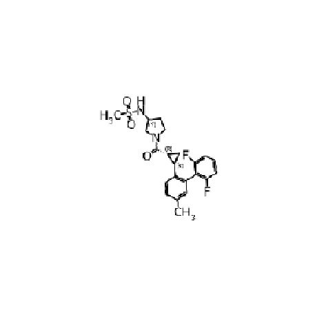 Cc1ccc([C@@H]2C[C@H]2C(=O)N2CC[C@H](NS(C)(=O)=O)C2)c(-c2c(F)cccc2F)c1